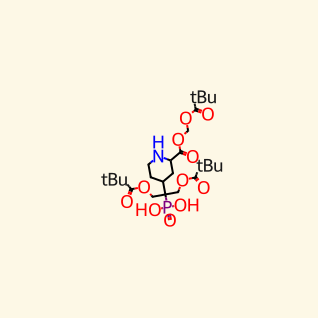 CC(C)(C)C(=O)OCOC(=O)C1CC(C(COC(=O)C(C)(C)C)(COC(=O)C(C)(C)C)P(=O)(O)O)CCN1